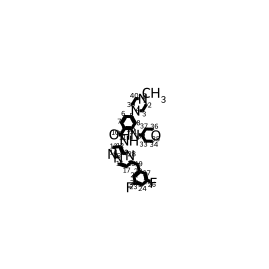 CN1CCN(c2ccc(C(=O)Nc3cnn4ccc(Cc5cc(F)cc(F)c5)nc34)c(NC3CCOCC3)c2)CC1